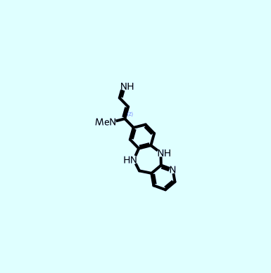 CN/C(=C\C=N)c1ccc2c(c1)NCc1cccnc1N2